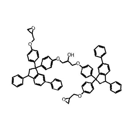 OC(COc1ccc(C2(c3ccc(OCC4CO4)cc3)CC(c3ccccc3)c3ccc(-c4ccccc4)cc32)cc1)COc1ccc(C2(c3ccc(OCC4CO4)cc3)CC(c3ccccc3)c3ccc(-c4ccccc4)cc32)cc1